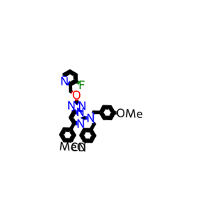 COc1ccc(CN(Cc2ccc(OC)cc2)c2nc(-c3cccc(C#N)c3)cc3nc(OCc4ncccc4F)nn23)cc1